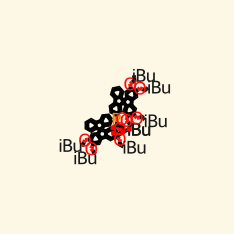 CCC(C)COc1cc2c(cc1OCC(C)CC)C1(c3ccccc3-c3ccc(P(=O)(c4ccccc4)c4ccc5c(c4)C4(c6ccccc6-5)c5cc(OCC(C)CC)c(OCC(C)CC)cc5-c5cc(OCC(C)CC)c(OCC(C)CC)cc54)cc31)c1cc(OCC(C)CC)c(OCC(C)CC)cc1-2